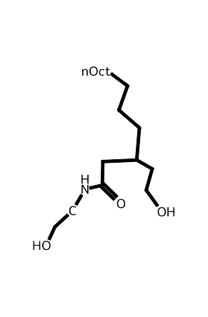 CCCCCCCCCCCC(CCO)CC(=O)NCCO